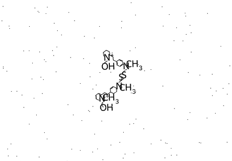 CN(CCSSCCN(C)C1C=CC(CCC2=CC=CC[N+]2(C)CCO)CC1)c1ccc(CCC2CCCC=[N+]2CCO)cc1